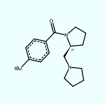 CC(C)(C)c1ccc(C(=O)N2CCC[C@H]2CN2CCCC2)cc1